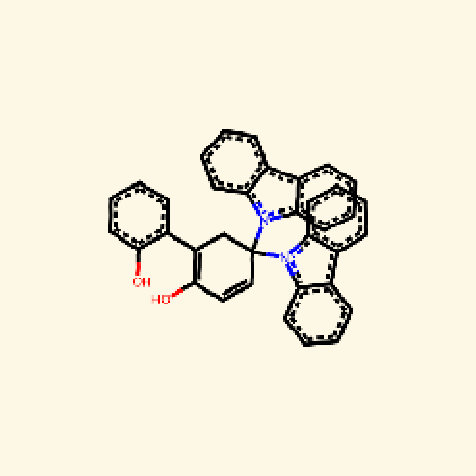 OC1=C(c2ccccc2O)CC(n2c3ccccc3c3ccccc32)(n2c3ccccc3c3ccccc32)C=C1